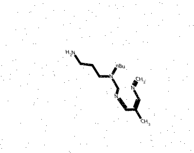 C=N/C=C(C)\C=N/CN(CCCC)CCCN